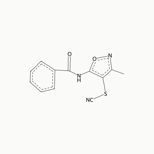 Cc1noc(NC(=O)c2ccccc2)c1SC#N